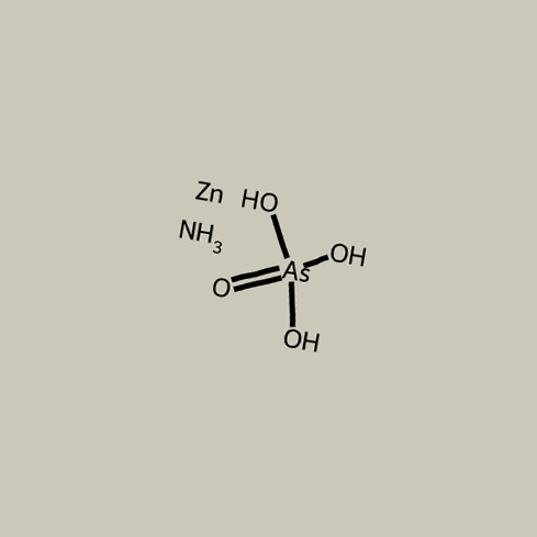 N.O=[As](O)(O)O.[Zn]